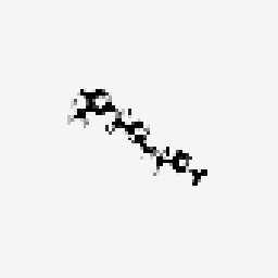 Cc1cnc(NC(=O)c2cnc([C@@H](C)NC(=O)c3cnn(C(C)C)c3)s2)cc1C(F)(F)F